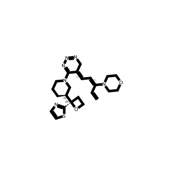 C=C/C(=C\C=C1/CN=NN=C1N1CCC[C@H]([C@@]2(c3nccs3)CCO2)C1)N1CCOCC1